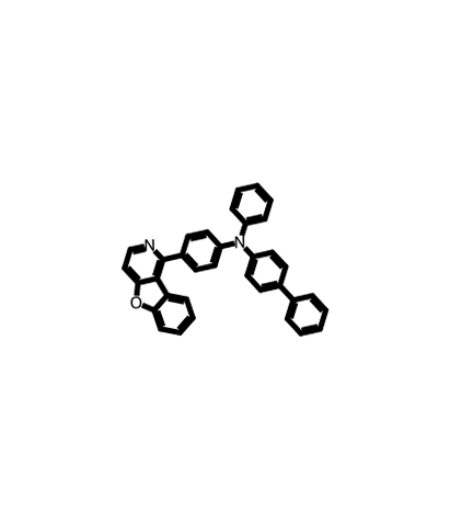 c1ccc(-c2ccc(N(c3ccccc3)c3ccc(-c4nccc5oc6ccccc6c45)cc3)cc2)cc1